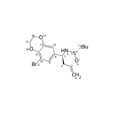 C=CC[C@H](N[S@@+]([O-])C(C)(C)C)c1cc(Br)c2c(c1)OCCO2